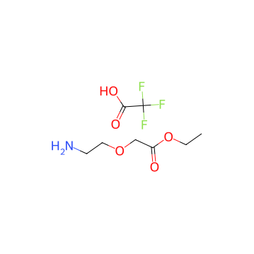 CCOC(=O)COCCN.O=C(O)C(F)(F)F